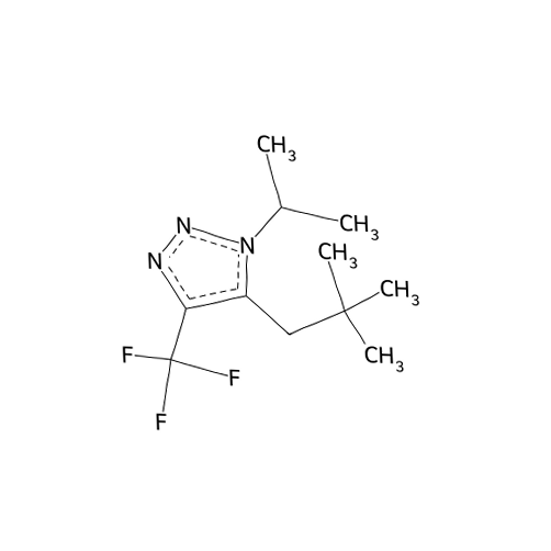 CC(C)n1nnc(C(F)(F)F)c1CC(C)(C)C